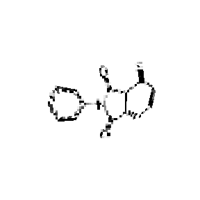 O=C1C2=CC=CC(=S)C2C(=O)N1c1ccccc1